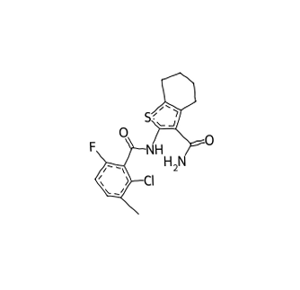 Cc1ccc(F)c(C(=O)Nc2sc3c(c2C(N)=O)CCCC3)c1Cl